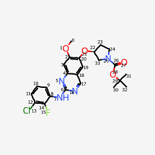 COc1cc2nc(Nc3cccc(Cl)c3F)ncc2cc1O[C@H]1CCN(C(=O)OC(C)(C)C)C1